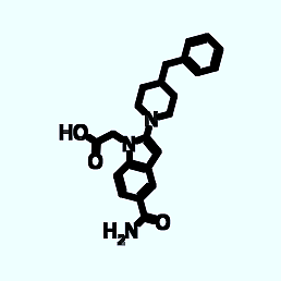 NC(=O)c1ccc2c(c1)cc(N1CCC(Cc3ccccc3)CC1)n2CC(=O)O